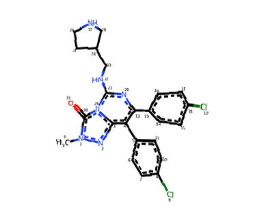 Cn1nc2c(-c3ccc(Cl)cc3)c(-c3ccc(Cl)cc3)nc(NCC3CCNC3)n2c1=O